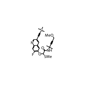 COCC#CC(C)(C)NC(=O)C(Oc1cc2cc(C#C[Si](C)(C)C)cnc2cc1F)SC